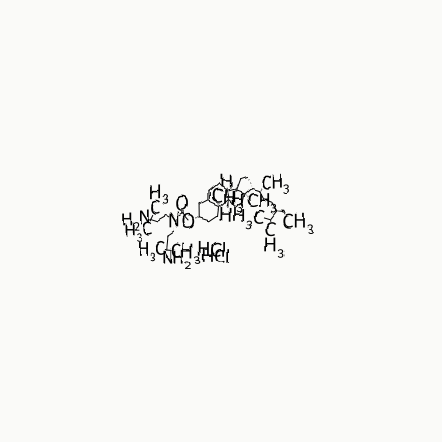 CC[C@H](CC[C@@H](C)[C@H]1CC[C@H]2[C@@H]3CC=C4C[C@@H](OC(=O)N(CCC(C)(C)N)CCC(C)(C)N)CC[C@]4(C)[C@H]3CC[C@]12C)C(C)C.Cl.Cl